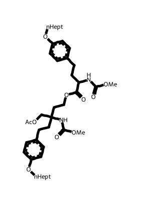 CCCCCCCOc1ccc(CCC(NC(=O)OC)C(=O)OCCC(CCc2ccc(OCCCCCCC)cc2)(COC(C)=O)NC(=O)OC)cc1